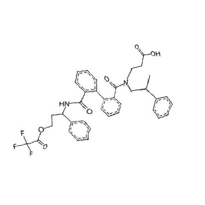 CC(CN(CCC(=O)O)C(=O)c1ccccc1-c1ccccc1C(=O)NC(CCOC(=O)C(F)(F)F)c1ccccc1)c1ccccc1